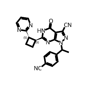 CC(c1ccc(C#N)cc1)n1nc(C#N)c2c(=O)[nH]c([C@H]3CC[C@@H]3c3ncccn3)nc21